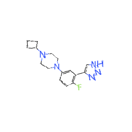 Fc1ccc(N2CCN(C3CCC3)CC2)cc1-c1c[nH]nn1